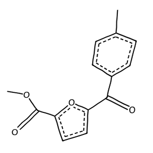 COC(=O)c1ccc(C(=O)c2ccc(C)cc2)o1